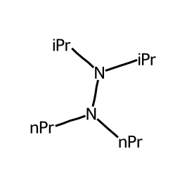 CCCN(CCC)N(C(C)C)C(C)C